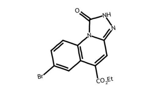 CCOC(=O)c1cc2n[nH]c(=O)n2c2ccc(Br)cc12